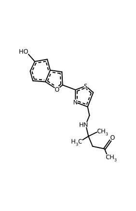 CC(=O)CC(C)(C)NCc1csc(-c2cc3cc(O)ccc3o2)n1